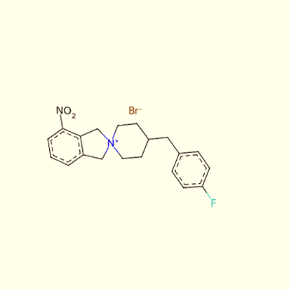 O=[N+]([O-])c1cccc2c1C[N+]1(CCC(Cc3ccc(F)cc3)CC1)C2.[Br-]